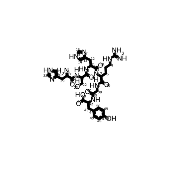 N=C(N)NCCCC(NC(=O)C(Cc1c[nH]cn1)NC(=O)C(CO)NC(=O)C(N)Cc1c[nH]cn1)C(=O)NCC(=O)NC(Cc1ccc(O)cc1)C(=O)O